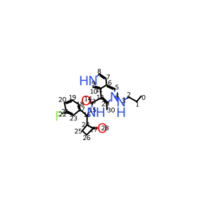 CCCNN1C=C2C=CNC=C2C(C(=O)N[C@H](c2cccc(F)c2)C2CCC2=O)=C1C